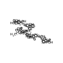 C/C=C/C1=C(C(=O)O)N2C(=O)[C@@H](NC(=O)[C@H](N)c3ccc(O)cc3)[C@H]2SC1.CC(C)(C(=O)O)c1ccc(C(O)CCCN2CCC(C(O)(c3ccccc3)c3ccccc3)CC2)cc1.O=C(O)c1cc(=O)c2cc(OC[C@@H](O)COc3cccc4oc(C(=O)O)cc(=O)c34)ccc2o1